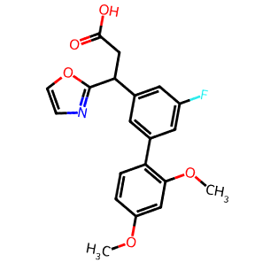 COc1ccc(-c2cc(F)cc(C(CC(=O)O)c3ncco3)c2)c(OC)c1